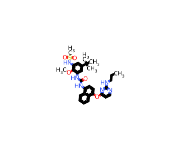 CCCNc1nccc(Oc2ccc(NC(=O)Nc3cc(C(C)(C)C)cc(NS(C)(=O)=O)c3OC)c3ccccc23)n1